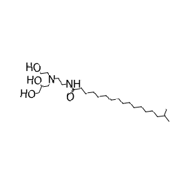 CC(C)CCCCCCCCCCCCCCC(=O)NCCN(CCO)CC(O)CO